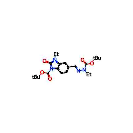 CCN(/N=C/c1ccc2c(c1)n(CC)c(=O)n2C(=O)OC(C)(C)C)C(=O)OC(C)(C)C